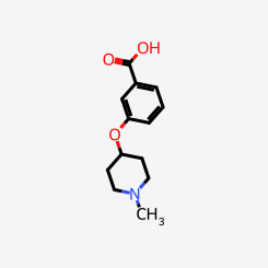 CN1CCC(Oc2cccc(C(=O)O)c2)CC1